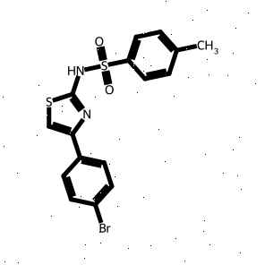 Cc1ccc(S(=O)(=O)Nc2nc(-c3ccc(Br)cc3)cs2)cc1